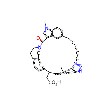 Cc1c2ccc3c1nnn3CCCCCc1ccc3c(c1)c(cn3C)C(=O)N1CCc3ccc(cc3C1)C2CC(=O)O